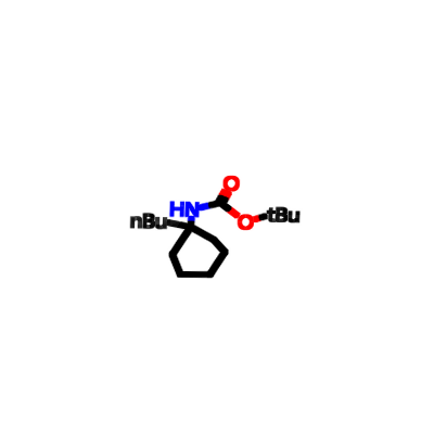 CCCCC1(NC(=O)OC(C)(C)C)CCCCC1